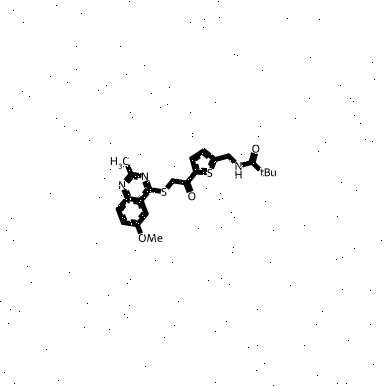 COc1ccc2nc(C)nc(SCC(=O)c3ccc(CNC(=O)C(C)(C)C)s3)c2c1